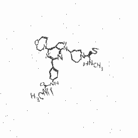 CNC(=O)Nc1ccc(-c2nc(N3CCOCC3)c3cnn(C4CCN(C(=S)NC)CC4)c3n2)cc1